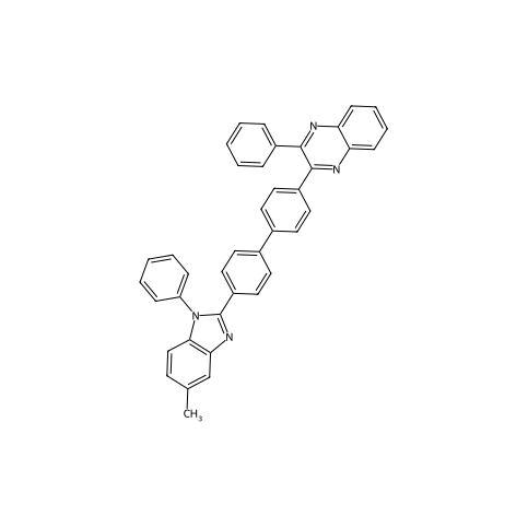 Cc1ccc2c(c1)nc(-c1ccc(-c3ccc(-c4nc5ccccc5nc4-c4ccccc4)cc3)cc1)n2-c1ccccc1